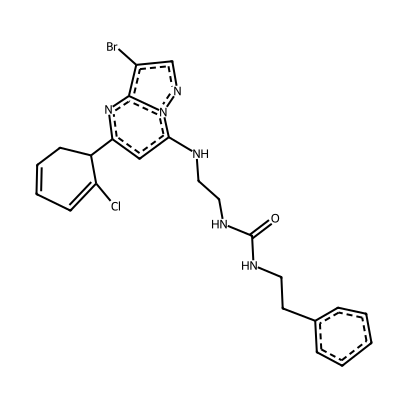 O=C(NCCNc1cc(C2CC=CC=C2Cl)nc2c(Br)cnn12)NCCc1ccccc1